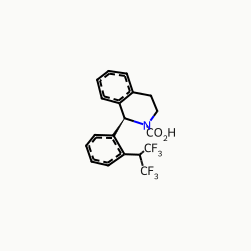 O=C(O)N1CCc2ccccc2[C@@H]1c1ccccc1C(C(F)(F)F)C(F)(F)F